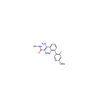 CCCNC(=O)c1nnc2c(-c3cnc(OC)cc3C)cccc2c1N